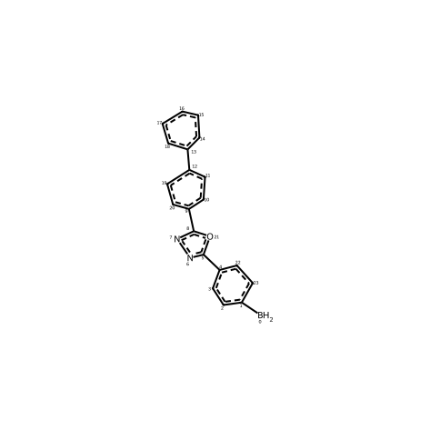 Bc1ccc(-c2nnc(-c3ccc(-c4ccccc4)cc3)o2)cc1